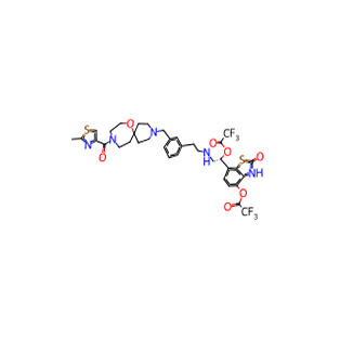 Cc1nc(C(=O)N2CCOC3(CCN(Cc4cccc(CCNC[C@H](OC(=O)C(F)(F)F)c5ccc(OC(=O)C(F)(F)F)c6[nH]c(=O)sc56)c4)CC3)CC2)cs1